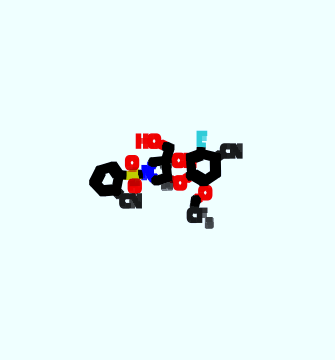 N#Cc1cc(OCC(F)(F)F)c(O[C@H]2CN(S(=O)(=O)c3ccccc3C#N)C[C@@]2(O)CO)cc1F